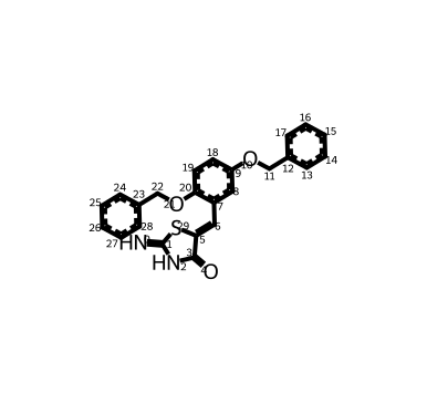 N=C1NC(=O)C(=Cc2cc(OCc3ccccc3)ccc2OCc2ccccc2)S1